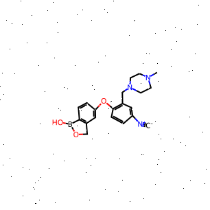 [C-]#[N+]c1ccc(Oc2ccc3c(c2)COB3O)c(CN2CCN(C)CC2)c1